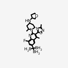 BC(B)(B)c1cc(F)c2nc(N3CCC(NC4CCOC4)CC3C)c(-c3nc(C)no3)c(C)c2c1